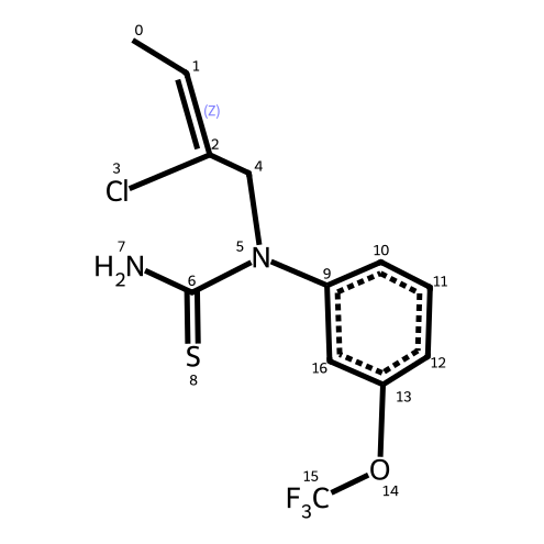 C/C=C(\Cl)CN(C(N)=S)c1cccc(OC(F)(F)F)c1